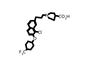 O=C(O)C1CCN(CCCc2ccc3ccc(OC4CCC(C(F)(F)F)CC4)c(Cl)c3c2)CC1